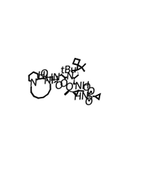 C=C[C@@H]1C[C@]1(NC(=O)[C@@H]1C[C@@]2(CN1C(=O)[C@@H](NC(=O)[C@@H]1CCCCCCCN3CCCC[C@H]3C(=O)N1)C(C)(C)C)C(C)(C)C21CCC1)C(=O)NS(=O)(=O)C1CC1